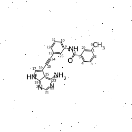 Cc1cccc(C(=O)Nc2cccc(C#Cc3c[nH]c4ncnc(N)c34)c2)c1